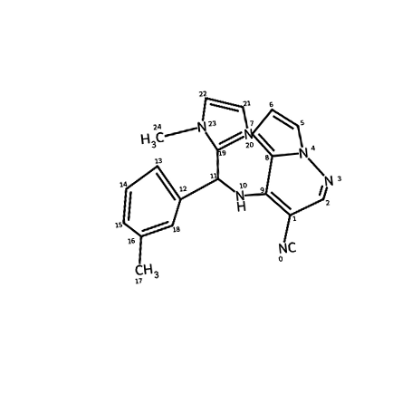 [C-]#[N+]c1cnn2cccc2c1NC(c1cccc(C)c1)c1nccn1C